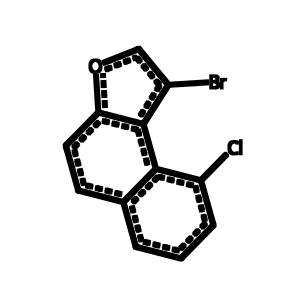 Clc1cccc2ccc3occ(Br)c3c12